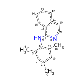 Cc1cc(C)c(Nc2nccc3ccccc23)c(C)c1